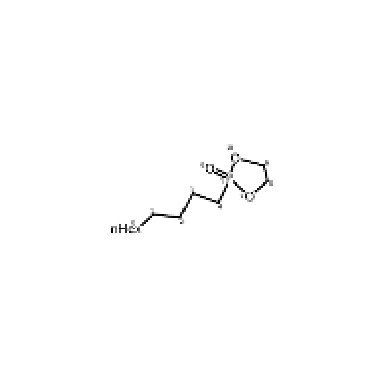 CCCCCCCCCCP1(=O)OCCO1